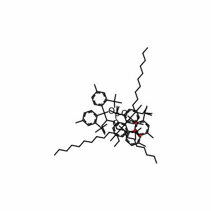 CCCCCCCCCCC(CC)C(OP(OC(c1ccc(C)cc1C(C)(C)C)(c1ccc(C)cc1C(C)(C)C)C(CC)CCCCCCCCCC)OC(c1ccc(C)cc1C(C)(C)C)(c1ccc(C)cc1C(C)(C)C)C(CC)CCCCCCCCCC)(c1ccc(C)cc1C(C)(C)C)c1ccc(C)cc1C(C)(C)C